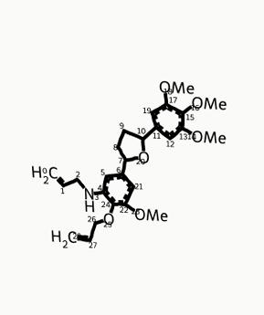 C=CCNc1cc(C2CCC(c3cc(OC)c(OC)c(OC)c3)O2)cc(OC)c1OCC=C